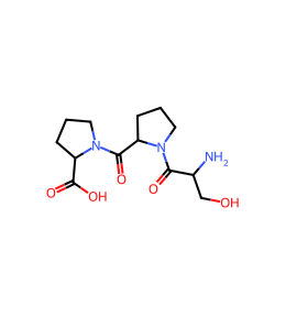 NC(CO)C(=O)N1CCCC1C(=O)N1CCCC1C(=O)O